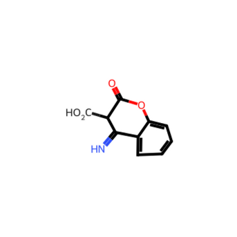 N=C1c2ccccc2OC(=O)C1C(=O)O